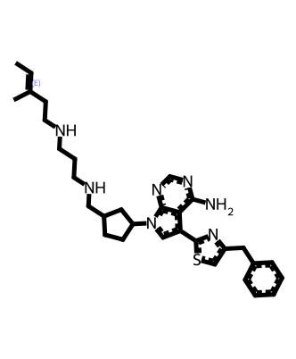 C/C=C(\C)CCNCCCNCC1CCC(n2cc(-c3nc(Cc4ccccc4)cs3)c3c(N)ncnc32)C1